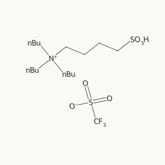 CCCC[N+](CCCC)(CCCC)CCCCS(=O)(=O)O.O=S(=O)([O-])C(F)(F)F